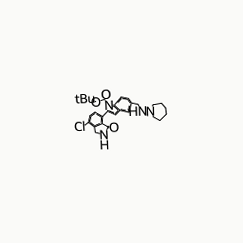 CC(C)(C)OC(=O)n1c(-c2ccc(Cl)c3c2C(=O)NC3)cc2cc(CNN3CCCCCC3)ccc21